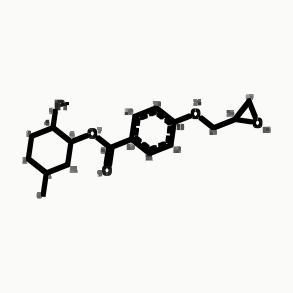 CC1CCC(C(C)C)C(OC(=O)c2ccc(OCC3CO3)cc2)C1